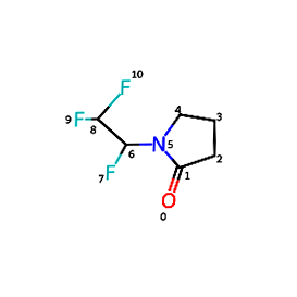 O=C1CCCN1C(F)C(F)F